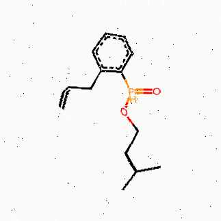 C=CCc1ccccc1[PH](=O)OCCC(C)C